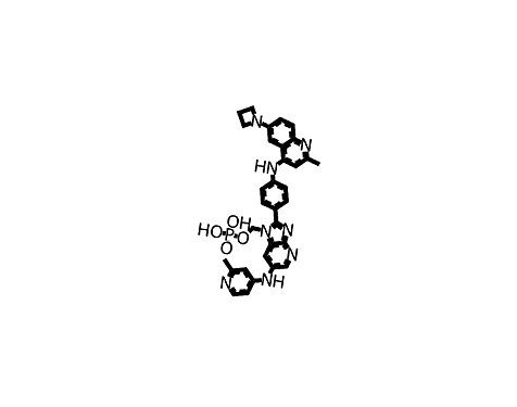 Cc1cc(Nc2cnc3nc(-c4ccc(Nc5cc(C)nc6ccc(N7CCC7)cc56)cc4)n(COP(=O)(O)O)c3c2)ccn1